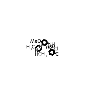 COc1ccc(NS(=O)(=O)c2cccc(Cl)c2Cl)cc1N1C[C@@H](C)N[C@@H](C)C1